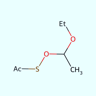 CCOC(C)OSC(C)=O